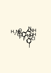 NS(=O)(=O)c1cc(-c2cn[nH]c2O)c(Nc2ccc(I)cc2Cl)c(F)c1F